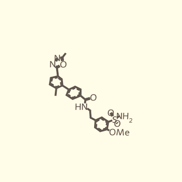 COc1ccc(CCNC(=O)c2ccc(-c3cc(-c4nnc(C)o4)ccc3C)cc2)cc1S(N)(=O)=O